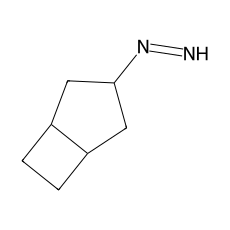 N=NC1CC2CCC2C1